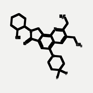 CCc1cc2c(N3CCC(F)(F)CC3)cc3c(c2nc1CC)CN(C1CCCCC1O)C3=O